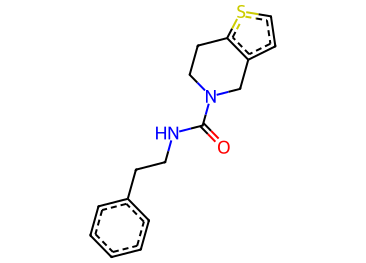 O=C(NCCc1ccccc1)N1CCc2sccc2C1